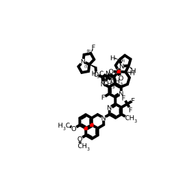 COc1ccc(CN(Cc2ccc(OC)cc2)c2cc(C)c(C(F)(F)F)c(-c3nc4c5c(nc(OC[C@@]67CCCN6C[C@H](F)C7)nc5c3F)N3C[C@H]5CC[C@@H]([C@H]3CC4)N5C(=O)OC(C)(C)C)n2)cc1